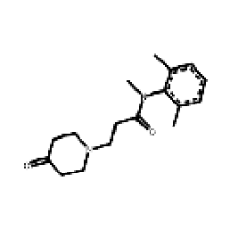 Cc1cccc(C)c1N(C)C(=O)CCN1CCC(=O)CC1